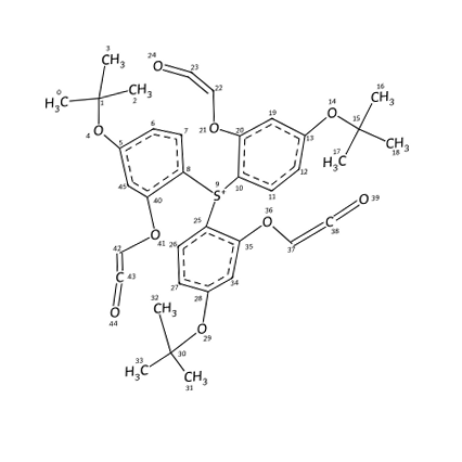 CC(C)(C)Oc1ccc([S+](c2ccc(OC(C)(C)C)cc2OC=C=O)c2ccc(OC(C)(C)C)cc2OC=C=O)c(OC=C=O)c1